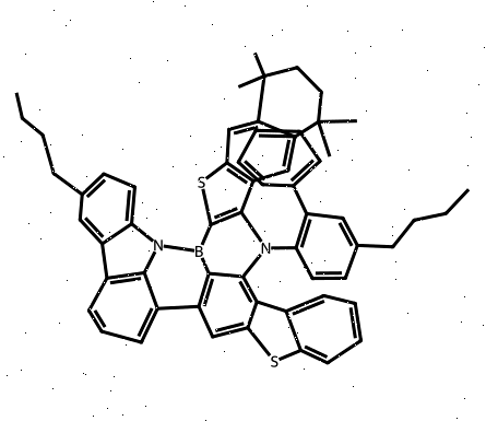 CCCCc1ccc(N2c3c(sc4cc5c(cc34)C(C)(C)CCC5(C)C)B3c4c(cc5sc6ccccc6c5c42)-c2cccc4c5cc(CCCC)ccc5n3c24)c(-c2ccccc2)c1